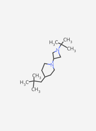 CC(C)(C)CC1CCN(C2CN(C(C)(C)C)C2)CC1